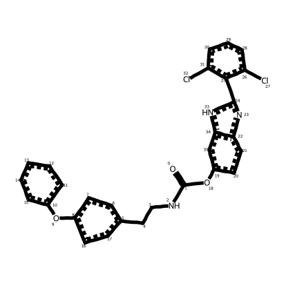 O=C(NCCc1ccc(Oc2ccccc2)cc1)Oc1ccc2nc(-c3c(Cl)cccc3Cl)[nH]c2c1